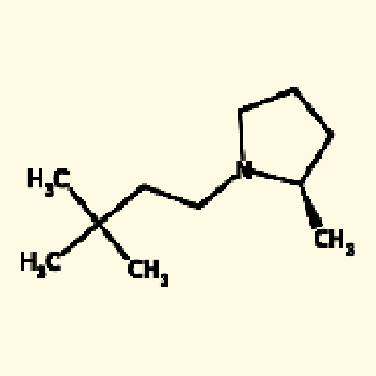 C[C@@H]1CCCN1CCC(C)(C)C